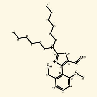 CCCCCCN(CCCCCC)c1nc(-c2c(CO)cccc2OC)c(C=O)s1